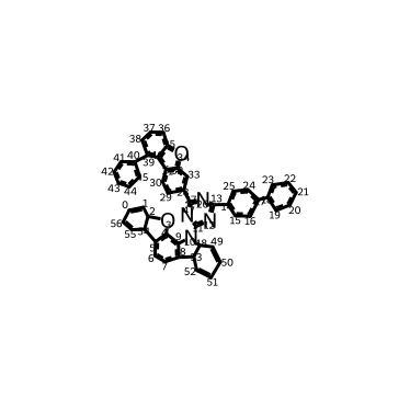 C1=CC2Oc3c(ccc4c3N(c3nc(-c5ccc(-c6ccccc6)cc5)nc(-c5ccc6c(c5)oc5cccc(-c7ccccc7)c56)n3)C3C=CC=CC43)C2C=C1